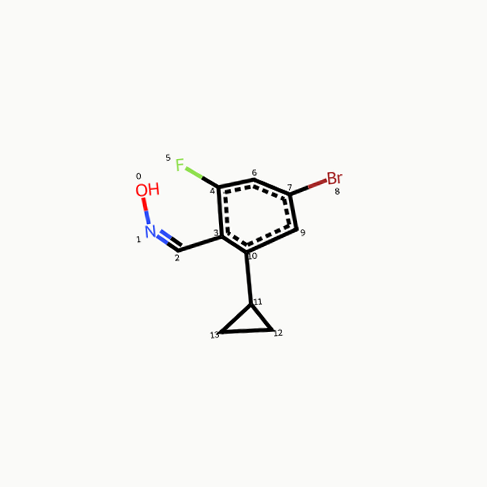 O/N=C\c1c(F)cc(Br)cc1C1CC1